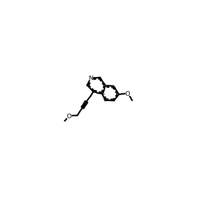 COCC#Cc1cncc2cc(OC)ccc12